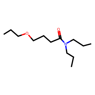 CCCOCCCC(=O)N(CCC)CCC